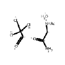 CC(=O)NCC(N)=O.O.O=CC(Cl)(Cl)Cl